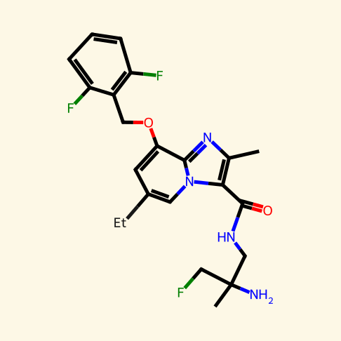 CCc1cc(OCc2c(F)cccc2F)c2nc(C)c(C(=O)NCC(C)(N)CF)n2c1